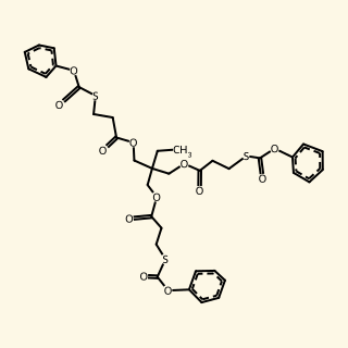 CCC(COC(=O)CCSC(=O)Oc1ccccc1)(COC(=O)CCSC(=O)Oc1ccccc1)COC(=O)CCSC(=O)Oc1ccccc1